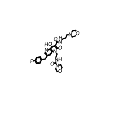 O=C(NCCCN1CCOCC1)c1c(O)c2ncc(Cc3ccc(F)cc3)cc2n(CCNC(=O)N2CCOCC2)c1=O